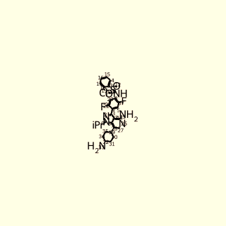 CC(C)n1nc(-c2cc(F)c(NS(=O)(=O)c3ccccc3Cl)cc2F)c2c(N)ncc([C@H]3CC[C@H](N)CC3)c21